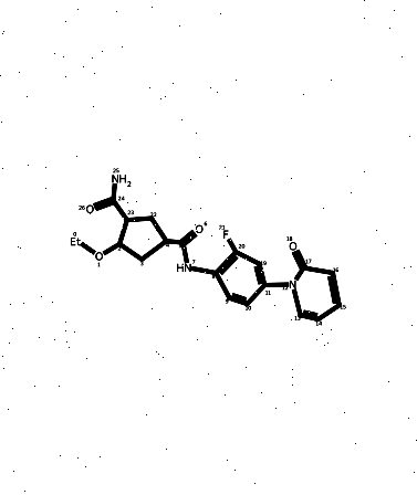 CCOC1CC(C(=O)Nc2ccc(-n3ccccc3=O)cc2F)CC1C(N)=O